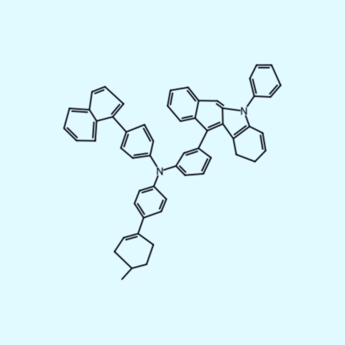 CC1CC=C(c2ccc(N(c3ccc(-c4cccc5ccccc45)cc3)c3cccc(-c4c5ccccc5cc5c4c4c(n5-c5ccccc5)C=CCC4)c3)cc2)CC1